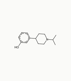 CC(C)N1CCC(c2cccc(O)c2)CC1